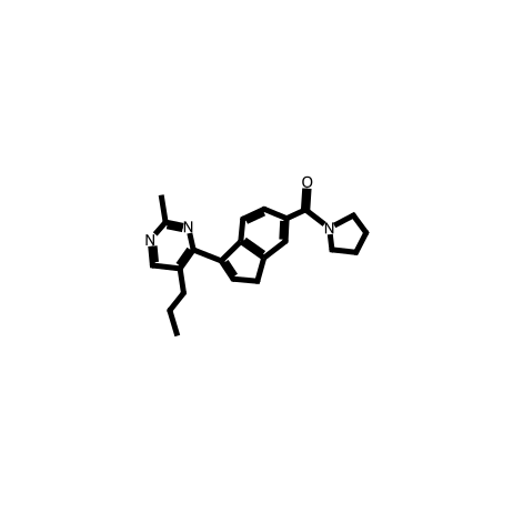 CCCc1cnc(C)nc1C1=CCc2cc(C(=O)N3CCCC3)ccc21